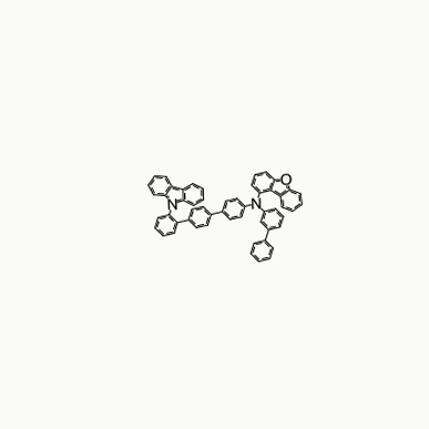 c1ccc(-c2cccc(N(c3ccc(-c4ccc(-c5ccccc5-n5c6ccccc6c6ccccc65)cc4)cc3)c3cccc4oc5ccccc5c34)c2)cc1